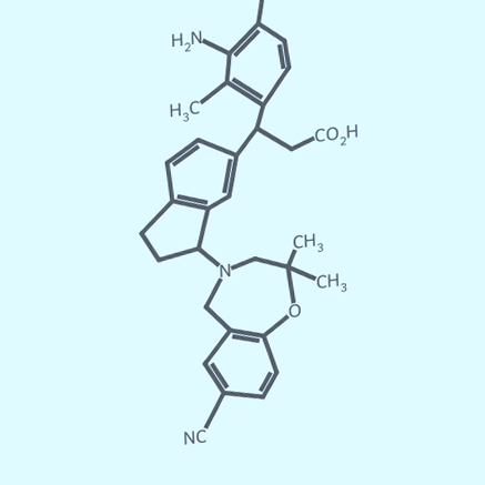 CNc1ccc(C(CC(=O)O)c2ccc3c(c2)C(N2Cc4cc(C#N)ccc4OC(C)(C)C2)CC3)c(C)c1N